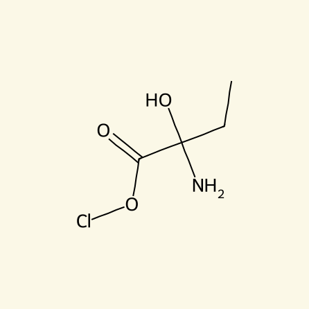 CCC(N)(O)C(=O)OCl